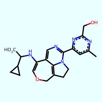 Cc1cc(C2=NC=C3C(NC(C(=O)O)C4CC4)=COCC4=C3N2CC4)nc(CO)n1